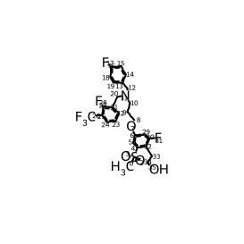 CS(=O)(=O)c1cc(OCCCN(Cc2ccc(F)cc2)Cc2cccc(C(F)(F)F)c2F)cc(F)c1CCO